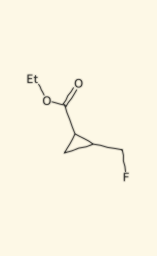 CCOC(=O)C1CC1CF